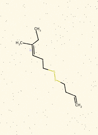 C=CCCSSCC/C=C(/C)CC